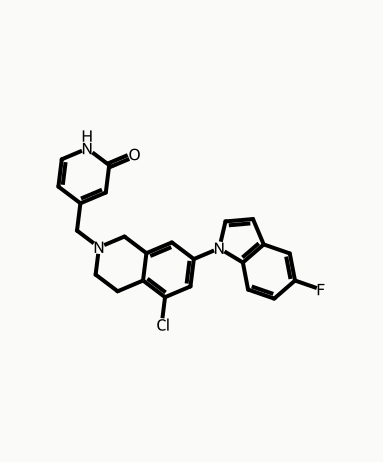 O=c1cc(CN2CCc3c(Cl)cc(-n4ccc5cc(F)ccc54)cc3C2)cc[nH]1